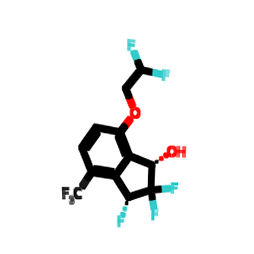 O[C@H]1c2c(OCC(F)F)ccc(C(F)(F)F)c2[C@@H](F)C1(F)F